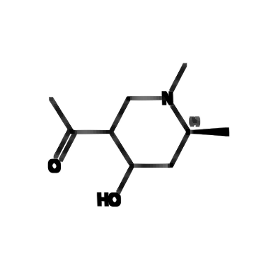 CC(=O)C1CN(C)[C@@H](C)CC1O